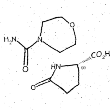 NC(=O)N1CCOCC1.O=C1CC[C@@H](C(=O)O)N1